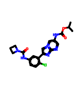 CC(C)OC(=O)Nc1cnc2nc(-c3cc(NC(=O)N4CCC4)ccc3Cl)cn2c1